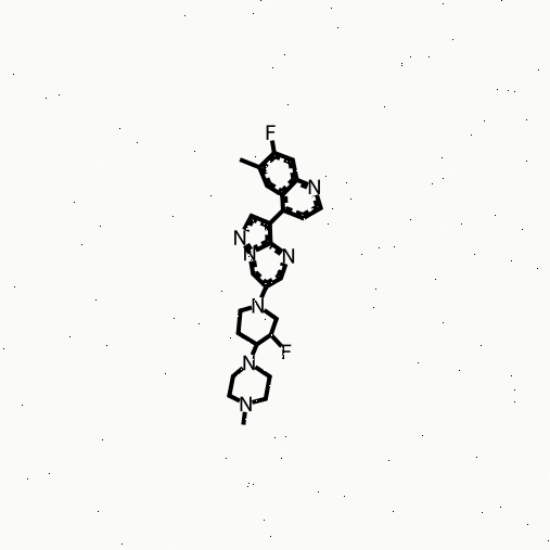 Cc1cc2c(-c3cnn4cc(N5CCC(N6CCN(C)CC6)C(F)C5)cnc34)ccnc2cc1F